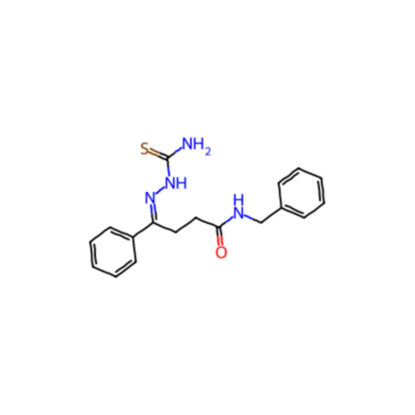 NC(=S)NN=C(CCC(=O)NCc1ccccc1)c1ccccc1